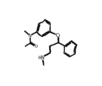 CNCCC(Oc1cccc(N(C)C(C)=O)c1)c1ccccc1